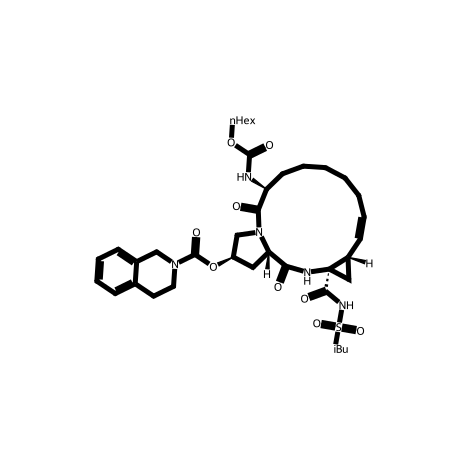 CCCCCCOC(=O)N[C@H]1CCCCC/C=C\[C@@H]2C[C@@]2(C(=O)NS(=O)(=O)C(C)CC)NC(=O)[C@@H]2C[C@@H](OC(=O)N3CCc4ccccc4C3)CN2C1=O